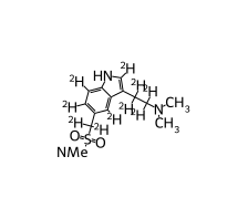 [2H]c1[nH]c2c([2H])c([2H])c(C([2H])([2H])S(=O)(=O)NC)c([2H])c2c1C([2H])([2H])C([2H])([2H])N(C)C